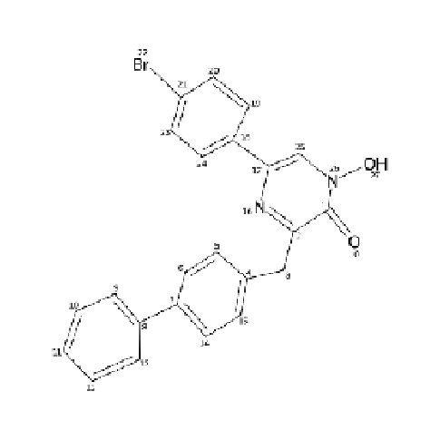 O=c1c(Cc2ccc(-c3ccccc3)cc2)nc(-c2ccc(Br)cc2)cn1O